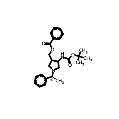 C[C@@H](c1ccccc1)N1CC(COC(=O)c2ccccc2)C(NC(=O)OC(C)(C)C)C1